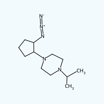 CC(C)N1CCN(C2CCCC2N=[N+]=[N-])CC1